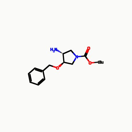 CC(C)(C)OC(=O)N1C[C@@H](N)[C@H](OCc2ccccc2)C1